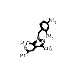 COC(=O)Cc1c(C)nn(Cc2ccc(N)cc2C)c1C